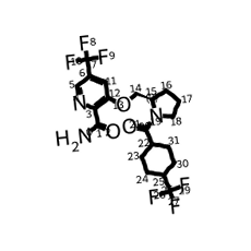 NC(=O)c1ncc(C(F)(F)F)cc1OC[C@H]1CCCN1C(=O)C1CCC(C(F)(F)F)CC1